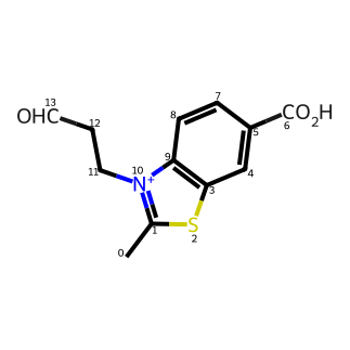 Cc1sc2cc(C(=O)O)ccc2[n+]1CCC=O